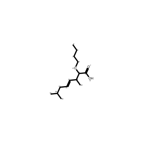 CCCCOC(C(=O)O)C(C)C=CCC(C)C